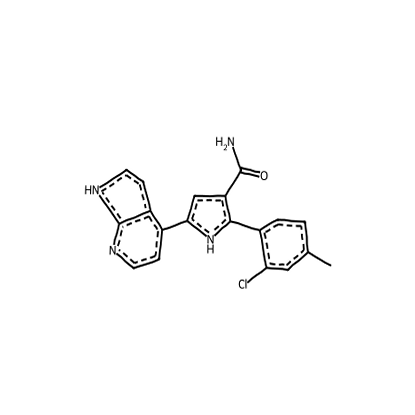 Cc1ccc(-c2[nH]c(-c3ccnc4[nH]ccc34)cc2C(N)=O)c(Cl)c1